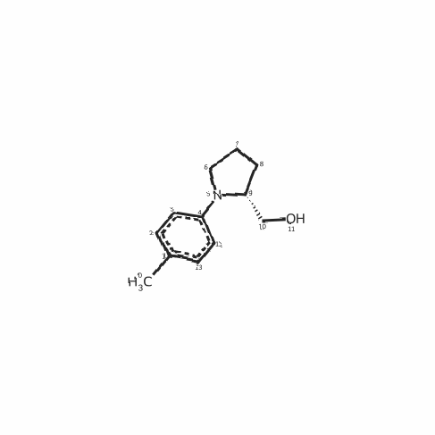 Cc1ccc(N2CCC[C@@H]2CO)cc1